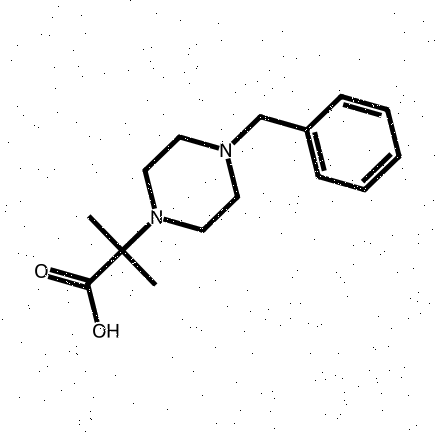 CC(C)(C(=O)O)N1CCN(Cc2ccccc2)CC1